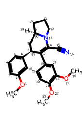 COc1cccc([C@H]2C[C@H]3CCCN3C(C#N)=C2c2ccc(OC)c(OC)c2)c1